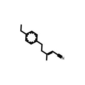 CCc1ccc(CCC(C)=CC#N)cc1